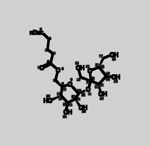 CCCCCCCCCCCCCC(=O)OC[C@H]1O[C@H](O[C@]2(CO)O[C@H](CO)[C@@H](O)[C@@H]2O)[C@H](O)[C@@H](O)[C@@H]1O